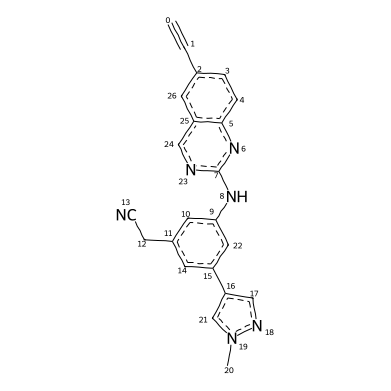 C#Cc1ccc2nc(Nc3cc(CC#N)cc(-c4cnn(C)c4)c3)ncc2c1